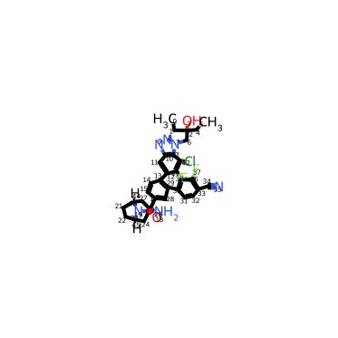 CCC(O)(CC)Cn1nnc2cc(-c3ccc(C(=O)N4[C@@H]5CC[C@H]4C[C@@H](N)C5)cc3-c3ccc(C#N)c(F)c3)c(F)c(Cl)c21